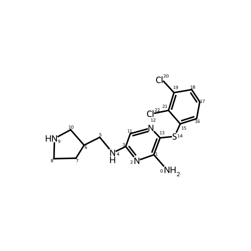 Nc1nc(NCC2CCNC2)cnc1Sc1cccc(Cl)c1Cl